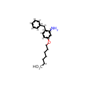 Nc1cc(OCCCCCCC(=O)O)ccc1Cc1ccccc1